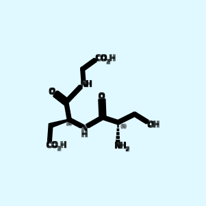 N[C@@H](CO)C(=O)N[C@@H](CC(=O)O)C(=O)NCC(=O)O